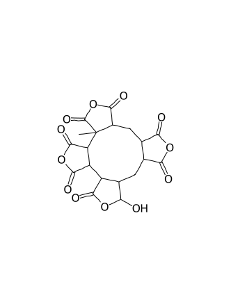 CC12C(=O)OC(=O)C1CC1C(=O)OC(=O)C1CC1C(O)OC(=O)C1C1C(=O)OC(=O)C12